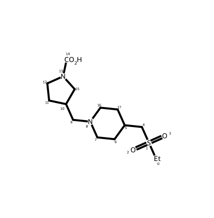 CCS(=O)(=O)CC1CCN(CC2CCN(C(=O)O)C2)CC1